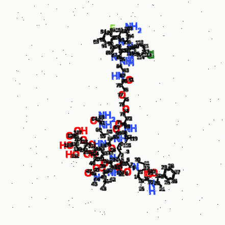 CC[C@H](C)[C@@H]([C@@H](CC(=O)N1CCC[C@H]1C[C@@H](C)C(=O)N[C@H](C)[C@@H](O)c1ccccc1)OC)N(C)C(=O)[C@@H](NC(=O)[C@H](C(C)C)N(C)C(=O)OCc1ccc(NC(=O)[C@H](CCCNC(N)=O)NC(=O)[C@@H](NC(=O)CCOCCOCCC(=O)NCCNc2ncc(-c3cc(C)cc(F)c3)c(N3CCC(N)CC3)c2-c2nc3ccc(Cl)cc3[nH]2)C(C)C)c(O[C@@H]2O[C@H](C(=O)O)[C@@H](O)[C@H](O)[C@H]2O)c1)C(C)C